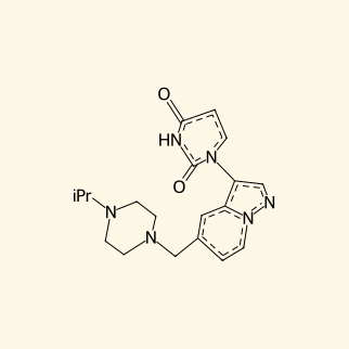 CC(C)N1CCN(Cc2ccn3ncc(-n4ccc(=O)[nH]c4=O)c3c2)CC1